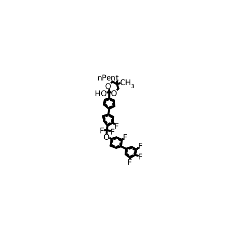 CCCCCC1(C)COC(O)(c2ccc(-c3ccc(C(F)(F)Oc4ccc(-c5cc(F)c(F)c(F)c5)c(F)c4)c(F)c3)cc2)OC1